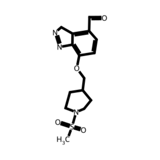 CS(=O)(=O)N1CCC(COc2ccc(C=O)c3c2N=NC3)CC1